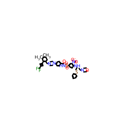 CC1(C)CCC(CN2CCN(c3ccc(C(=O)NS(=O)(=O)c4ccc(N[C@H](CCN5CCOCC5)CSc5ccccc5)c([N+](=O)[O-])c4)cc3)CC2)=C(C23CC(C(F)F)(C2)C3)C1